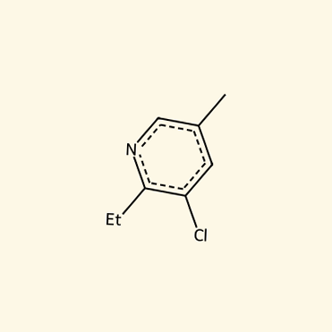 CCc1ncc(C)cc1Cl